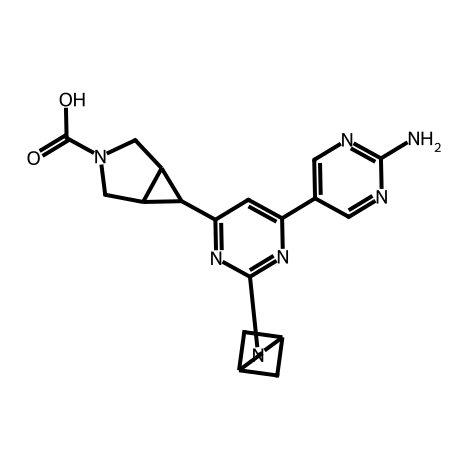 Nc1ncc(-c2cc(C3C4CN(C(=O)O)CC43)nc(N3CC4CC3C4)n2)cn1